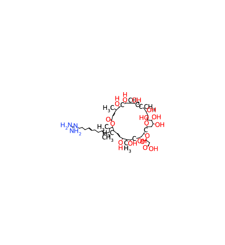 CC(CCC/C=C/CCCN=C(N)N)CC(C)C1OC(=O)/C=C/C(C)C(O)CC(O)C(C)C(O)CCC(C)C(O)CC2(O)OC(CC(OC(=O)CC(=O)O)CC(O)CC(O)C(C)C(O)/C=C\C1C)CC(O)C2O